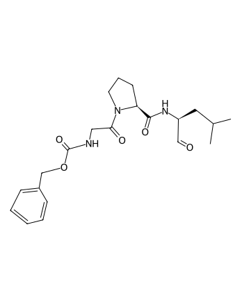 CC(C)C[C@@H](C=O)NC(=O)[C@@H]1CCCN1C(=O)CNC(=O)OCc1ccccc1